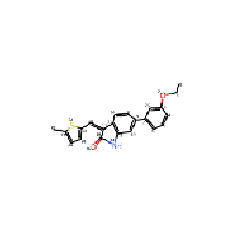 CCOc1cccc(-c2ccc3c(c2)NC(=O)C3=Cc2ccc(C)s2)c1